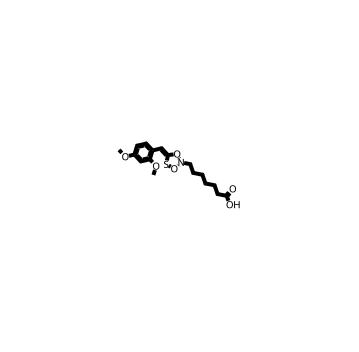 COc1ccc(C=C2ON(CCCCCCC(=O)O)OS2)c(OC)c1